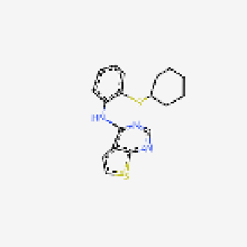 c1ccc(SC2CCCCC2)c(Nc2ncnc3sccc23)c1